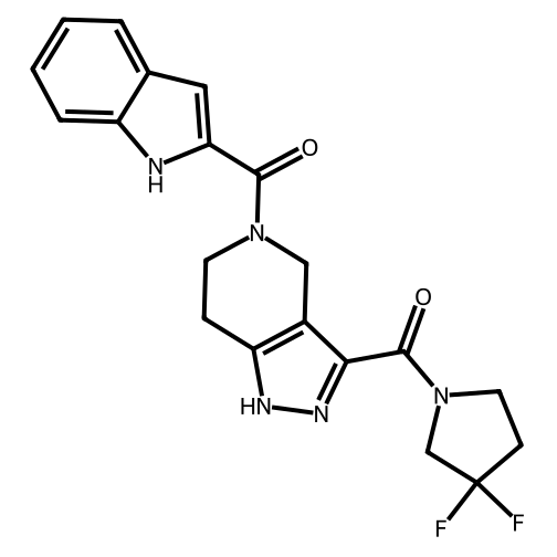 O=C(c1cc2ccccc2[nH]1)N1CCc2[nH]nc(C(=O)N3CCC(F)(F)C3)c2C1